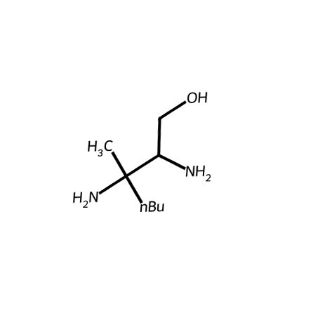 CCCCC(C)(N)C(N)CO